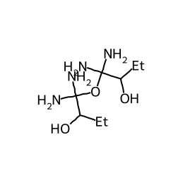 CCC(O)C(N)(N)OC(N)(N)C(O)CC